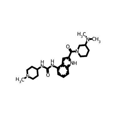 CN1CCC(NC(=O)Nc2cccc3[nH]c(C(=O)N4CCCC(N(C)C)C4)cc23)CC1